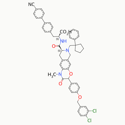 CN1C(=O)C(c2ccc(OCc3ccc(Cl)c(Cl)c3)cc2)Oc2cc3c(cc21)C[C@@H](C(=O)N[C@@H](Cc1ccc(-c2ccc(C#N)cc2)cc1)C(=O)O)N(CC1(c2ccccc2)CCCC1)C3